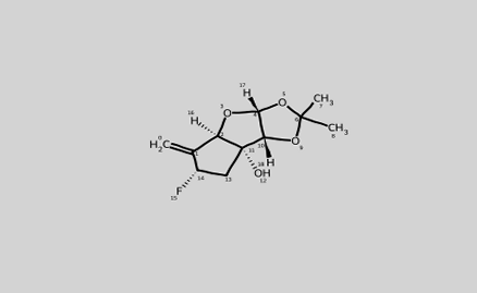 C=C1[C@H]2O[C@@H]3OC(C)(C)O[C@@H]3[C@@]2(O)C[C@@H]1F